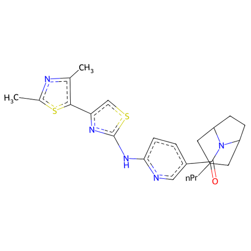 CCCC1CC2CCC(C1)N2C(=O)c1ccc(Nc2nc(-c3sc(C)nc3C)cs2)nc1